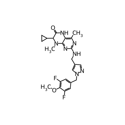 COc1c(F)cc(Cn2cc(CNc3nc(C)c4c(n3)N(C)C(C3CC3)C(=O)N4)cn2)cc1F